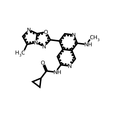 CNc1ncc(-c2nn3c(C)cnc3o2)c2cc(NC(=O)C3CC3)ncc12